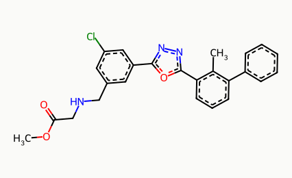 COC(=O)CNCc1cc(Cl)cc(-c2nnc(-c3cccc(-c4ccccc4)c3C)o2)c1